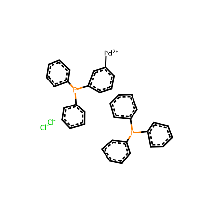 [Cl-].[Cl-].[Pd+2][c]1cccc(P(c2ccccc2)c2ccccc2)c1.c1ccc(P(c2ccccc2)c2ccccc2)cc1